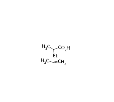 C=CC.CCC(C)C(=O)O